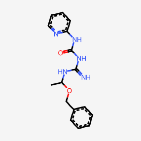 CC(NC(=N)NC(=O)Nc1ccccn1)OCc1ccccc1